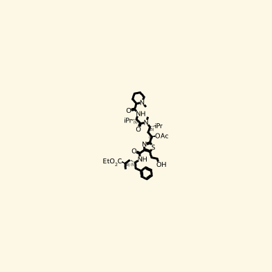 CCOC(=O)[C@H](C)C[C@@H](Cc1ccccc1)NC(=O)c1nc([C@@H](C[C@@H](C(C)C)N(C)C(=O)[C@@H](NC(=O)C2CCCCN2C)C(C)C)OC(C)=O)sc1CCO